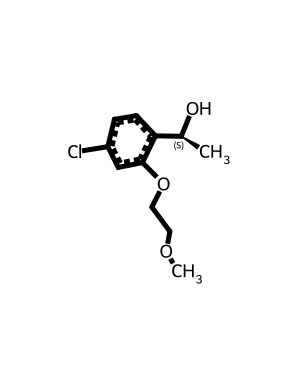 COCCOc1cc(Cl)ccc1[C@H](C)O